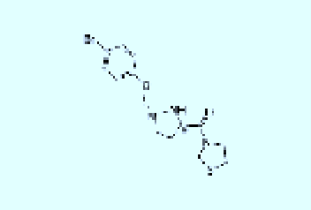 O=C([C@H]1CC[C@H](COc2ccc(Br)cc2)N1)N1CCSC1